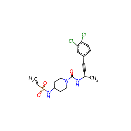 C=CS(=O)(=O)NC1CCN(C(=O)NC(C)C#Cc2ccc(Cl)c(Cl)c2)CC1